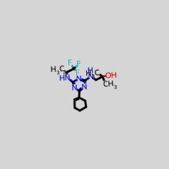 C[C@@H](Nc1nc(NCC(C)(C)O)nc(C2=CCCCC2)n1)C(F)(F)F